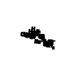 CN(CCS(=O)(=O)[O-])C(=O)CCCCCCC(=O)OCC#Cc1cc2c(=O)c(C(=O)NCc3ccc(Cl)cc3)c[nH]c2cc1C1CC1.[Na+]